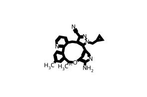 Cc1ccc2c(c1)[C@@H](C)Oc1cc(cnc1N)-c1c(c(C#N)nn1CC1CC1)Cc1cccnc1-2